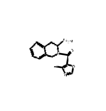 CCOC(=O)C1Cc2ccccc2CN1C(=O)c1ocnc1C